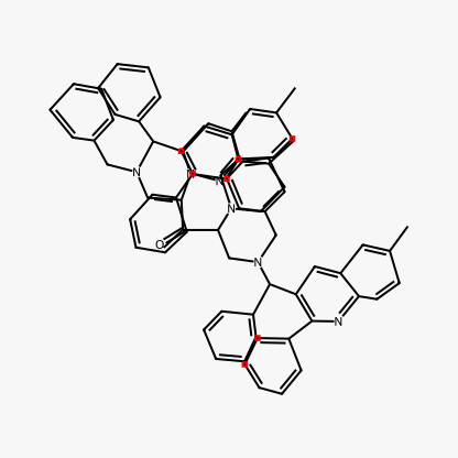 Cc1ccc2nc(-c3ccccc3)c(C(c3ccccc3)N(Cc3ccccc3)CC(C(=O)C(CN(Cc3ccccc3)C(c3ccccc3)c3cc4cc(C)ccc4nc3-c3ccccc3)N3CCC(C)CC3)N3CCC(C)CC3)cc2c1